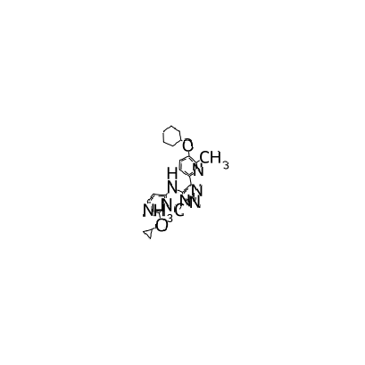 Cc1nc(-c2nnn(C)c2Nc2ccnc(OC3CC3)n2)ccc1OC1CCCCC1